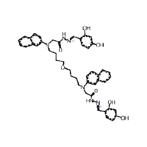 O=C(CN(CCCCOCCCCN(CC(=O)N/N=C/c1ccc(O)cc1O)c1ccc2ccccc2c1)c1ccc2ccccc2c1)N/N=C/c1ccc(O)cc1O